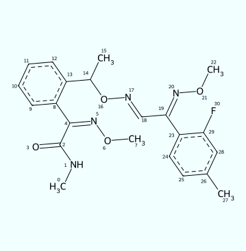 CNC(=O)C(=NOC)c1ccccc1C(C)ON=CC(=NOC)c1ccc(C)cc1F